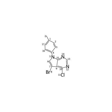 Cc1ccc(-n2cc(Br)c3c(Cl)ncnc32)cc1